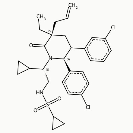 C=CC[C@@]1(CC)CC(c2cccc(Cl)c2)[C@@H](c2ccc(Cl)cc2)N([C@H](CNS(=O)(=O)C2CC2)C2CC2)C1=O